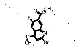 COC(=O)c1cc2nc(Br)cc(OC)c2cc1F